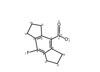 O=[N+]([O-])c1c2c(c(F)c3c1CCC3)CCC2